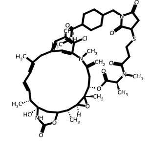 C=C1C[C@H](OC(=O)[C@H](C)N(C)C(=O)CCSC2CC(=O)N(CC3CCC(C(=O)NC)CC3)C2=O)[C@]2(C)O[C@H]2[C@H](C)C2C[C@@](O)(NC(=O)O2)[C@H](C)/C=C/C=C(\C)Cc2cc(C)c(Cl)c(c2)N1C